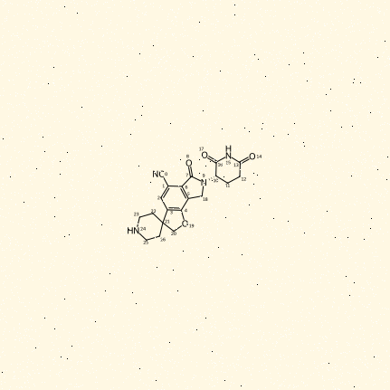 N#Cc1cc2c(c3c1C(=O)N([C@H]1CCC(=O)NC1=O)C3)OCC21CCNCC1